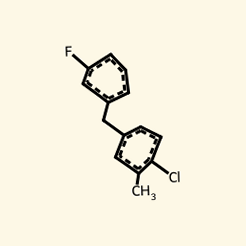 Cc1cc(Cc2cccc(F)c2)ccc1Cl